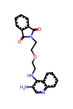 Nc1cnc2ccccc2c1NCCOCCN1C(=O)c2ccccc2C1=O